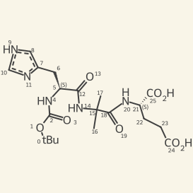 CC(C)(C)OC(=O)N[C@@H](Cc1c[nH]cn1)C(=O)NC(C)(C)C(=O)N[C@@H](CCC(=O)O)C(=O)O